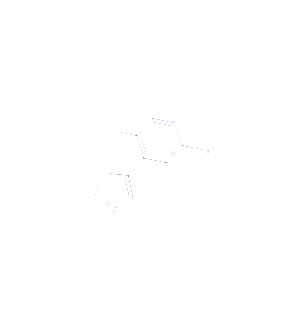 Fc1cnc(Br)cc1-c1cnco1